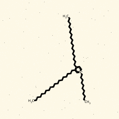 CCCCCCCCCCCCCCCCCCCc1cc[n+](CCCCCCCCCCC)cc1CCCCCCCCCCCCCCCCCCC